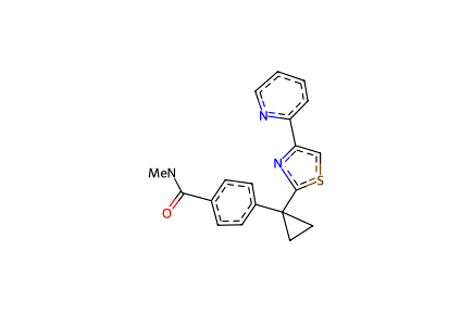 CNC(=O)c1ccc(C2(c3nc(-c4ccccn4)cs3)CC2)cc1